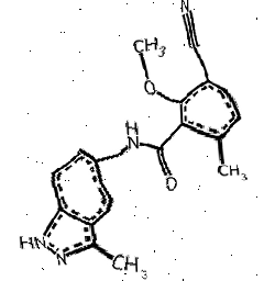 COc1c(C#N)ccc(C)c1C(=O)Nc1ccc2[nH]nc(C)c2c1